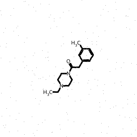 CCN1CCN(C(=O)Cc2cccc(C)c2)CC1